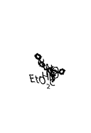 CCOC(=O)CNC(=O)c1nc(CC2CCN(c3ccccc3)CC2)nc(C)c1OCc1ccccc1